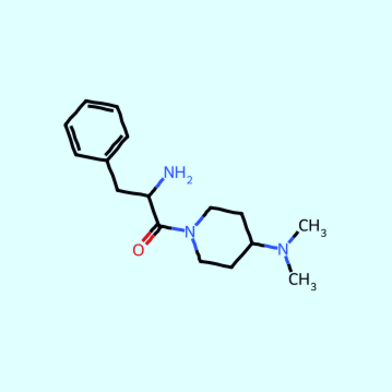 CN(C)C1CCN(C(=O)C(N)Cc2ccccc2)CC1